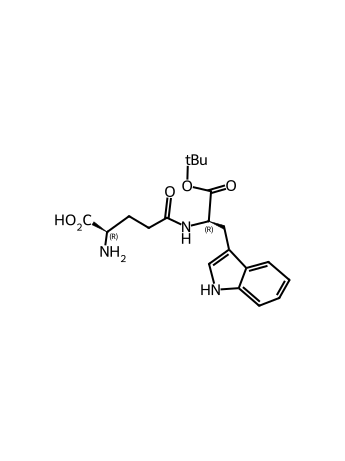 CC(C)(C)OC(=O)[C@@H](Cc1c[nH]c2ccccc12)NC(=O)CC[C@@H](N)C(=O)O